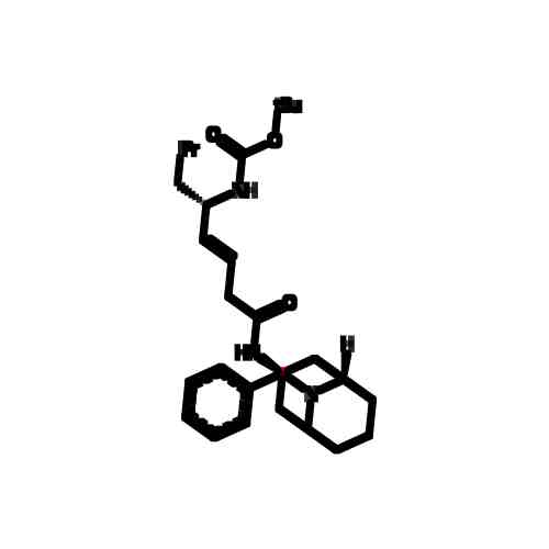 CC(C)C[C@@H](/C=C/CC(=O)N[C@@H]1CC2CCC[C@@H](C1)N2Cc1ccccc1)NC(=O)OC(C)(C)C